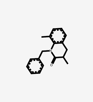 Cc1cccc2c1N(Cc1ccccc1)C(=O)C(C)C2